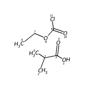 CC(C)C(=O)O.CCOC(=O)Cl